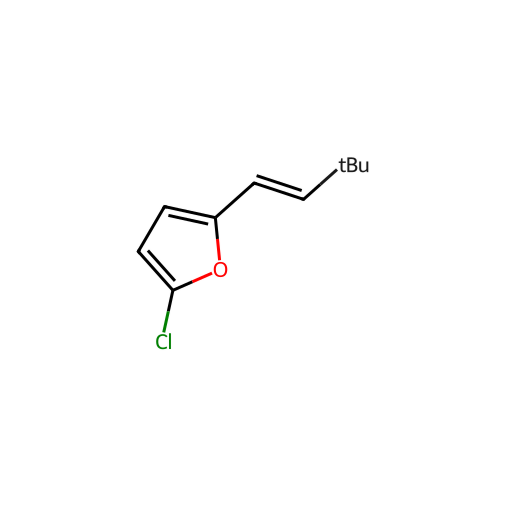 CC(C)(C)/C=C/c1ccc(Cl)o1